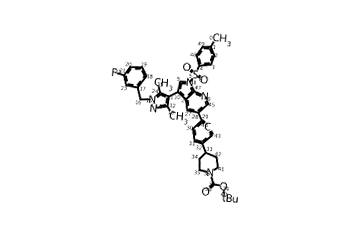 Cc1ccc(S(=O)(=O)n2cc(-c3c(C)nn(Cc4cccc(F)c4)c3C)c3cc(-c4ccc(C5CCN(C(=O)OC(C)(C)C)CC5)cc4)cnc32)cc1